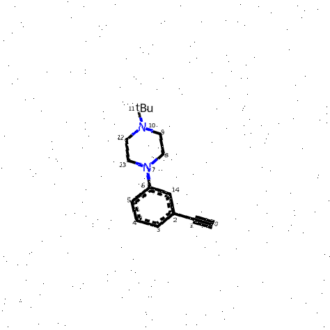 C#Cc1cccc(N2CCN(C(C)(C)C)CC2)c1